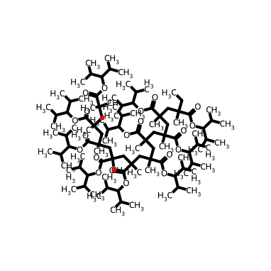 CCC(C)(CC(C)(CC(C)(CC(C)(CC(C)(CC(C)(CC(C)(CC(C)(CC(C)(CC(C)(C)C(=O)OC(C(C)C)C(C)C)C(=O)OC(C(C)C)C(C)C)C(=O)OC(C(C)C)C(C)C)C(=O)OC(C(C)C)C(C)C)C(=O)OC(C(C)C)C(C)C)C(=O)OC(C(C)C)C(C)C)C(=O)OC(C(C)C)C(C)C)C(=O)OC(C(C)C)C(C)C)C(=O)OC(C(C)C)C(C)C)C(=O)OC(C(C)C)C(C)C